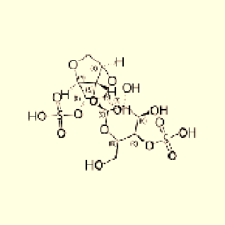 O=S(=O)(O)O[C@@H]1[C@H]2OC[C@@H](O[C@@H]1O)[C@@H]2O[C@@H]1O[C@H](CO)[C@H](OS(=O)(=O)O)[C@H](O)[C@H]1O